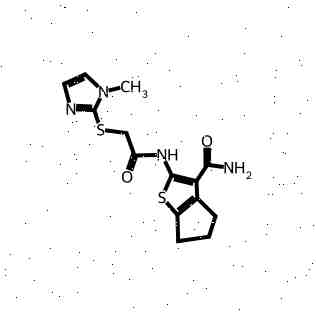 Cn1ccnc1SCC(=O)Nc1sc2c(c1C(N)=O)CCC2